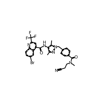 Cc1nn(Cc2ccc(C(=O)N(C)CCC#N)cc2)c(C)c1NC(=O)c1cc(C(F)(F)F)nc2ccc(Br)cc12